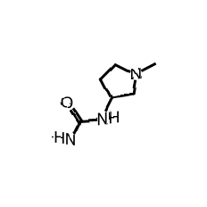 CN1CCC(NC([NH])=O)C1